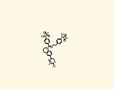 CN1N=C(c2ccc3c(c2)CCCN3C(=NCCc2ccc(NS(C)(=O)=O)cc2)c2ccc(NS(C)(=O)=O)cc2)CSC1=O